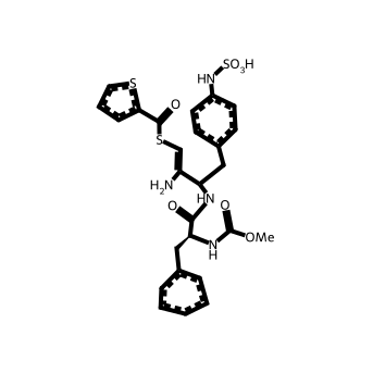 COC(=O)N[C@@H](Cc1ccccc1)C(=O)NC(Cc1ccc(NS(=O)(=O)O)cc1)/C(N)=C/SC(=O)c1cccs1